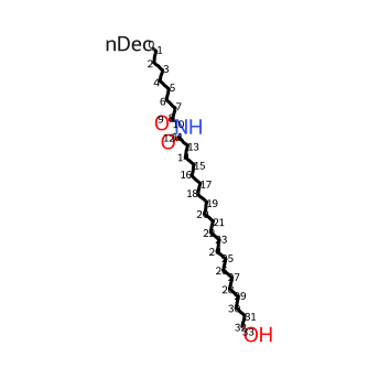 CCCCCCCCCCCCCCCCCC(=O)NC(=O)CCCCCCCCCCCCCCCCCCCCO